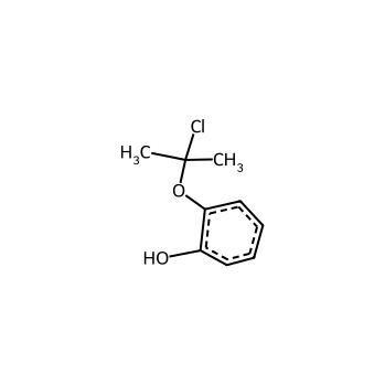 CC(C)(Cl)Oc1ccccc1O